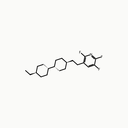 CC[C@H]1CC[C@H]([C@H]2CC[C@H](CCc3cc(F)c(F)nc3F)CC2)CC1